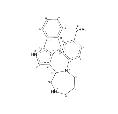 CC(=O)Nc1ccc(N2CCCNCC2c2n[nH]c3c2Cc2ccccc2-3)cc1